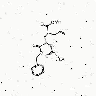 C=CC[C@@H](C[C@H](NC(=O)OC(C)(C)C)C(=O)OCc1ccccc1)C(=O)OC